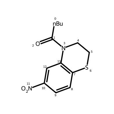 CCCCC(=O)N1CCSc2ccc([N+](=O)[O-])cc21